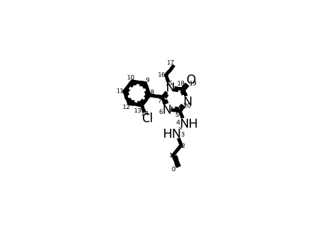 C=CCNNc1nc(-c2ccccc2Cl)n(CC)c(=O)n1